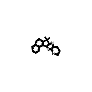 CC1(C)c2ccc3ccccc3c2-c2nc3ncccc3nc21